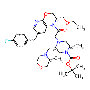 CCOC[C@H]1COc2ncc(Cc3ccc(F)cc3)cc2N1C(=O)CN1C[C@@H](C)N(C(=O)OC(C)(C)C)C[C@@H]1CN1CCOC[C@H]1C